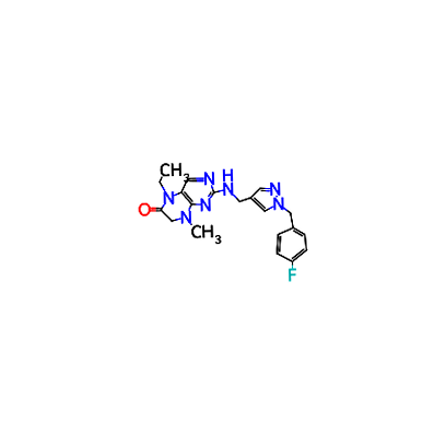 CCN1C(=O)CN(C)c2nc(NCc3cnn(Cc4ccc(F)cc4)c3)ncc21